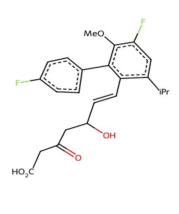 COc1c(F)cc(C(C)C)c(/C=C/C(O)CC(=O)CC(=O)O)c1-c1ccc(F)cc1